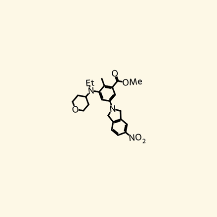 CCN(c1cc(N2Cc3ccc([N+](=O)[O-])cc3C2)cc(C(=O)OC)c1C)C1CCOCC1